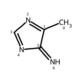 CC1=NC=NC1=N